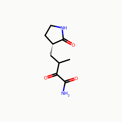 CC(C[C@@H]1CCNC1=O)C(=O)C(N)=O